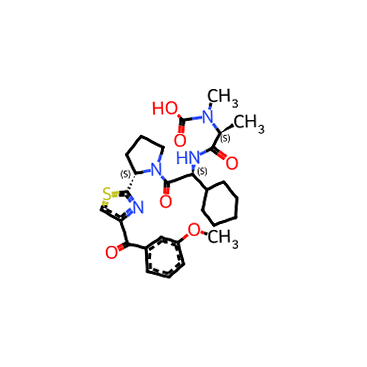 COc1cccc(C(=O)c2csc([C@@H]3CCCN3C(=O)[C@@H](NC(=O)[C@H](C)N(C)C(=O)O)C3CCCCC3)n2)c1